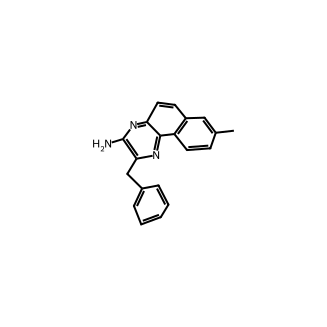 Cc1ccc2c(ccc3nc(N)c(Cc4ccccc4)nc32)c1